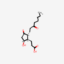 CCCCCC(=O)CC[C@H]1C(=O)C[C@H](O)[C@@H]1CCC(=O)O